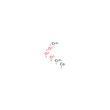 [Co].[Cr+3].[Cr+3].[O-2].[O-2].[O-2]